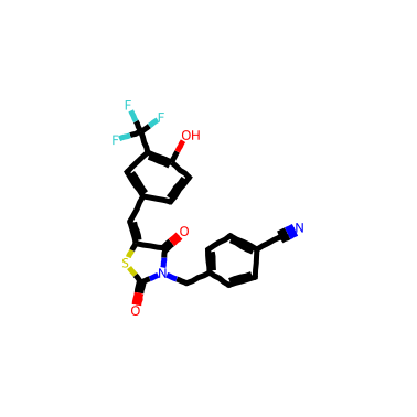 N#Cc1ccc(CN2C(=O)SC(=Cc3ccc(O)c(C(F)(F)F)c3)C2=O)cc1